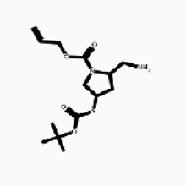 C=CCOC(=O)N1CC(SC(=O)OC(C)(C)C)CC1CN